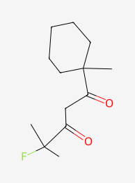 CC(C)(F)C(=O)CC(=O)C1(C)CCCCC1